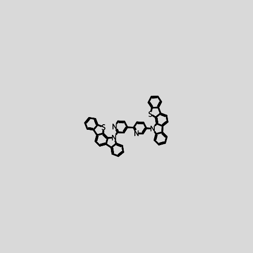 c1ccc2c(c1)sc1c2ccc2c3ccccc3n(-c3ccc(-c4ccnc(-n5c6ccccc6c6ccc7c8ccccc8sc7c65)c4)nc3)c21